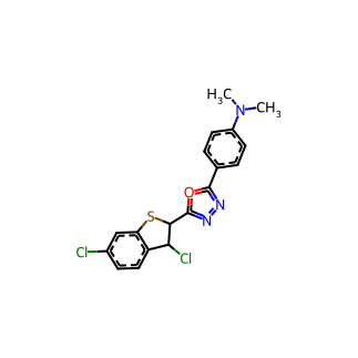 CN(C)c1ccc(-c2nnc(C3Sc4cc(Cl)ccc4C3Cl)o2)cc1